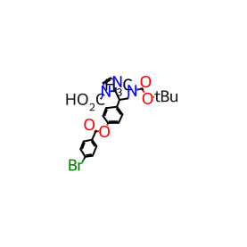 CN(CC(c1ccc(OC(=O)c2ccc(Br)cc2)cc1)c1nccn1C(=O)O)C(=O)OC(C)(C)C